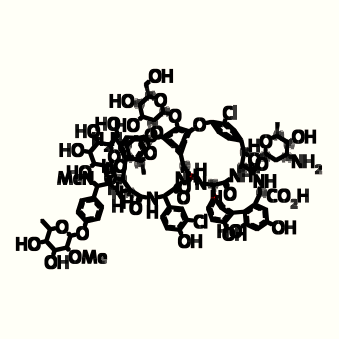 CNC(C(=O)N[C@H]1C(=O)NC(c2ccc(O)c(Cl)c2)C(=O)N[C@H]2C(=O)N[C@H]3C(=O)N[C@H](C(=O)N[C@H](C(=O)O)c4cc(O)cc(O)c4-c4cc3ccc4O)[C@H](O[C@H]3C[C@H](N)[C@@H](O)[C@H](C)O3)c3ccc(c(Cl)c3)Oc3cc2cc(c3O[C@@H]2O[C@H](CO)[C@@H](O)C(O)[C@H]2O[C@H]2C[C@H](N)[C@@H](O)[C@H](C)O2)Oc2ccc(cc2)[C@H]1OC1OC(CO)C(O)C(O)C1O)c1ccc(OC2OC(C)C(O)C(O)C2OC)cc1